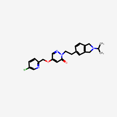 CC(C)N1Cc2ccc(CCn3ncc(OCc4ccc(Br)cn4)cc3=O)cc2C1